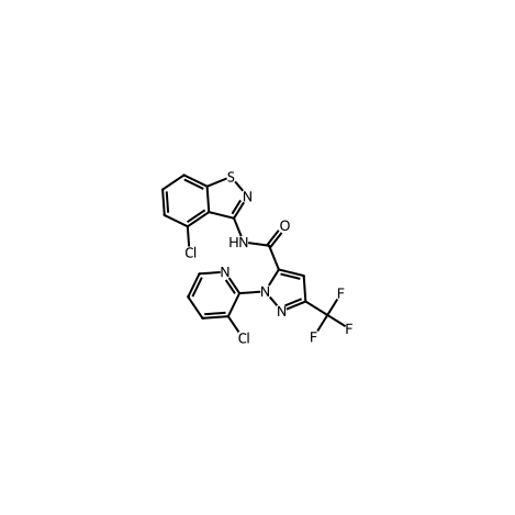 O=C(Nc1nsc2cccc(Cl)c12)c1cc(C(F)(F)F)nn1-c1ncccc1Cl